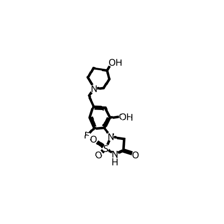 O=C1CN(c2c(O)cc(CN3CCC(O)CC3)cc2F)S(=O)(=O)N1